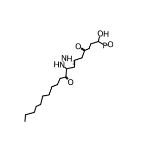 CCCCCCCCCCC(=O)C(CCCC(=O)CCC(O)P=O)NN